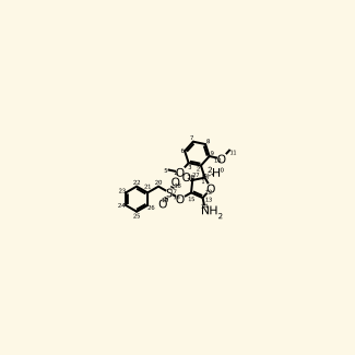 [2H][C@]1(c2c(OC)cccc2OC)OC(N)=C(OS(=O)(=O)Cc2ccccc2)C1=O